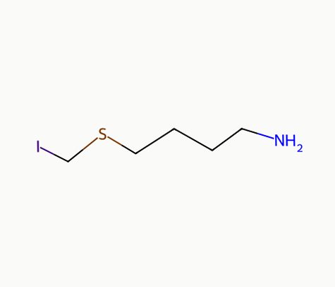 NCCCCSCI